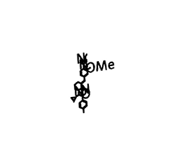 COc1cc(/C=C2\CCCN3C2=NOC(c2ccc(C)cc2)C3C2CC2)ccc1-n1cnc(C)c1